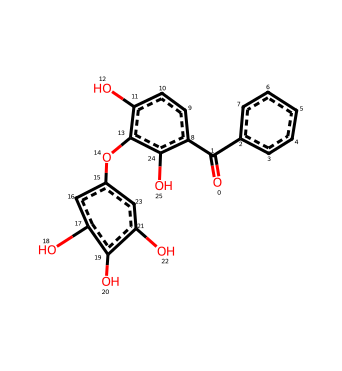 O=C(c1ccccc1)c1ccc(O)c(Oc2cc(O)c(O)c(O)c2)c1O